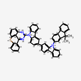 CC1(C)c2ccccc2-c2ccc(-n3c4ccccc4c4ccc(-c5ccc6c(c5)c5ccccc5n6-c5nc6c7c(cccc7n5)Sc5ccccc5-6)cc43)cc21